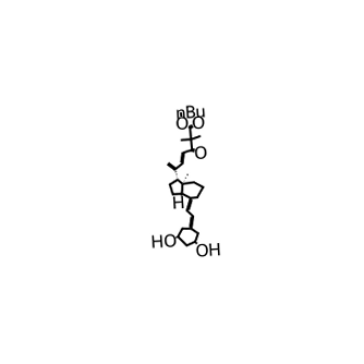 C=C(/C=C/C(=O)C(C)(C)C(=O)OCCCC)[C@H]1CC[C@H]2/C(=C/C=C3C[C@@H](O)C[C@H](O)C3)CCC[C@]12C